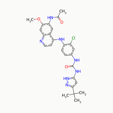 COc1cc2nccc(Nc3ccc(NC(=O)Nc4cc(C(C)(C)C)n[nH]4)cc3Cl)c2cc1NC(C)=O